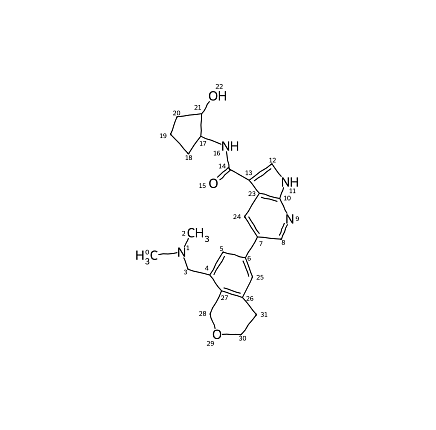 CN(C)Cc1cc(-c2cnc3[nH]cc(C(=O)NC4CCCC4O)c3c2)cc2c1COCC2